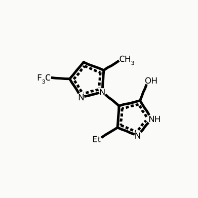 CCc1n[nH]c(O)c1-n1nc(C(F)(F)F)cc1C